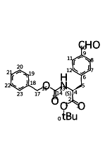 CC(C)(C)OC(=O)[C@H](Cc1ccc(C=O)cc1)NC(=O)OCc1ccccc1